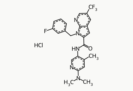 Cc1cc(N(C)C)ncc1NC(=O)c1cc2cc(C(F)(F)F)cnc2n1Cc1cccc(F)c1.Cl